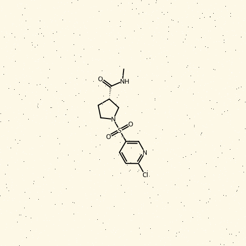 CNC(=O)[C@H]1CCN(S(=O)(=O)c2ccc(Cl)nc2)C1